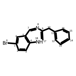 Brc1ccc2c(c1)C=NC(Cc1ccccc1)=CN2